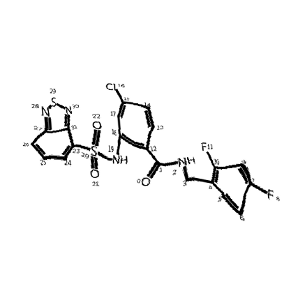 O=C(NCc1ccc(F)cc1F)c1ccc(Cl)cc1NS(=O)(=O)c1cccc2nsnc12